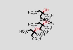 CC=O.O=C(O)CC(O)(CC(=O)O)C(=O)O.O=C(O)CC(O)(CC(=O)O)C(=O)O.O=C(O)CC(O)(CC(=O)O)C(=O)O